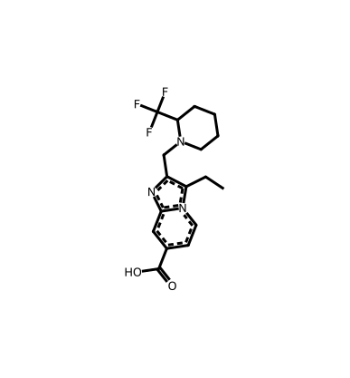 CCc1c(CN2CCCCC2C(F)(F)F)nc2cc(C(=O)O)ccn12